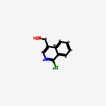 OCc1cnc(Cl)c2ccccc12